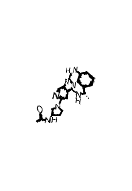 CC(=O)N[C@@H]1CCN(c2cc3c(N[C@@H](C)c4cccc(N)c4)nc(C)nc3cn2)C1